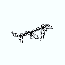 CC(C)(C)OC(=O)NCCOCCOCC(COCCOCCNC(=O)OC(C)(C)C)OCC(=O)O